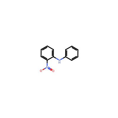 O=[N+]([O-])c1ccccc1Nc1ccccc1